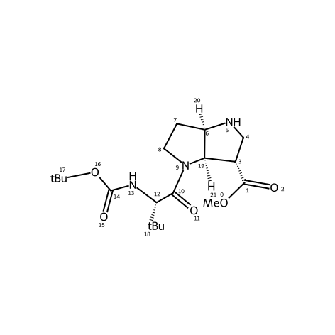 COC(=O)[C@H]1CN[C@@H]2CCN(C(=O)[C@@H](NC(=O)OC(C)(C)C)C(C)(C)C)[C@H]12